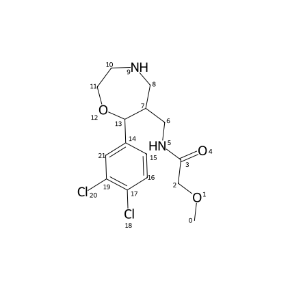 COCC(=O)NCC1CNCCOC1c1ccc(Cl)c(Cl)c1